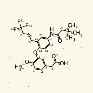 COc1ccc(CC(=O)O)cc1Oc1ccc(NC(=O)CC(C)(C)C)cc1CSCC(F)(F)F